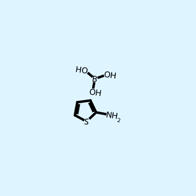 Nc1cccs1.OB(O)O